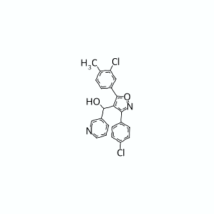 Cc1ccc(-c2onc(-c3ccc(Cl)cc3)c2C(O)c2cccnc2)cc1Cl